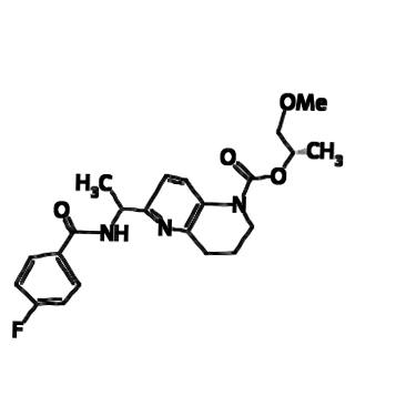 COC[C@H](C)OC(=O)N1CCCc2nc(C(C)NC(=O)c3ccc(F)cc3)ccc21